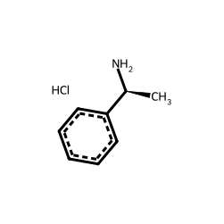 C[C@H](N)c1ccccc1.Cl